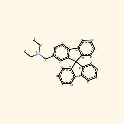 CCN(CC)Cc1ccc2c(c1)C(c1ccccc1)(c1ccccc1)c1ccccc1-2